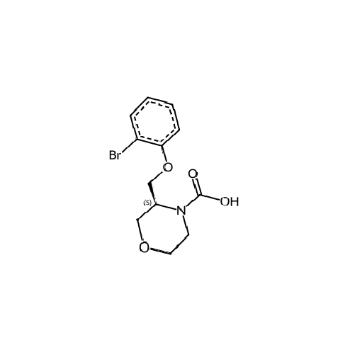 O=C(O)N1CCOC[C@H]1COc1ccccc1Br